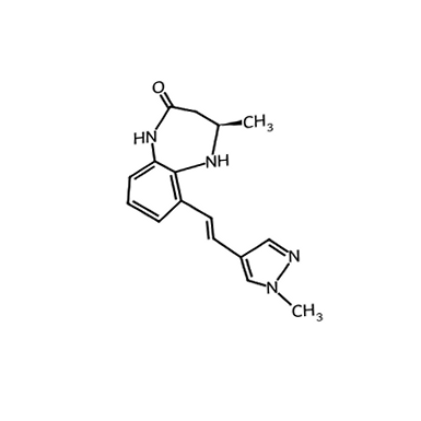 C[C@@H]1CC(=O)Nc2cccc(/C=C/c3cnn(C)c3)c2N1